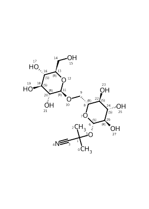 CC(C)(C#N)O[C@@H]1O[C@H](CO[C@@H]2O[C@H](CO)[C@@H](O)[C@H](O)[C@H]2O)[C@@H](O)[C@H](O)[C@H]1O